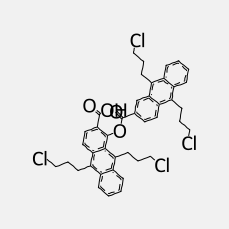 O=C(Oc1c(C(=O)O)ccc2c(CCCCl)c3ccccc3c(CCCCl)c12)c1ccc2c(CCCCl)c3ccccc3c(CCCCl)c2c1